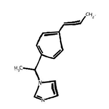 [CH2]C=Cc1ccc(C(C)n2ccnc2)cc1